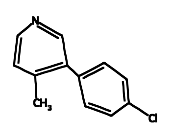 Cc1ccncc1-c1ccc(Cl)cc1